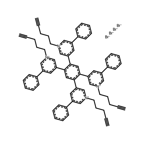 C#CCCC[n+]1cc(-c2ccccc2)cc(-c2cc(-c3cc(-c4ccccc4)c[n+](CCCC#C)c3)c(-c3cc(-c4ccccc4)c[n+](CCCC#C)c3)cc2-c2cc(-c3ccccc3)c[n+](CCCC#C)c2)c1.[Br-].[Br-].[Br-].[Br-]